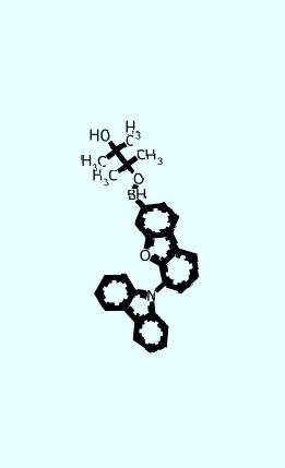 CC(C)(O)C(C)(C)OBc1ccc2c(c1)oc1c(-n3c4ccccc4c4ccccc43)cccc12